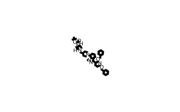 Cn1nc(-c2ccc(OCc3ccccc3)nc2OCc2ccccc2)c2cccc(N3CCC(CN4C[C@H]5C[C@@H]4CN5C(=O)OC(C)(C)C)CC3)c21